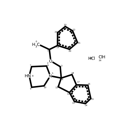 CC(OCC1(N2CCNCC2)Cc2ccccc2C1)c1ccccc1.Cl.Cl